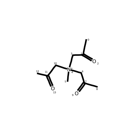 CC(=O)C[N+](C)(CC(C)=O)CC(C)=O